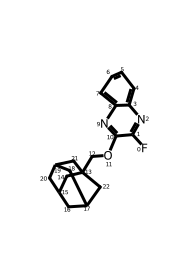 Fc1nc2ccccc2nc1OCC12CC3CC(CC(C3)C1)C2